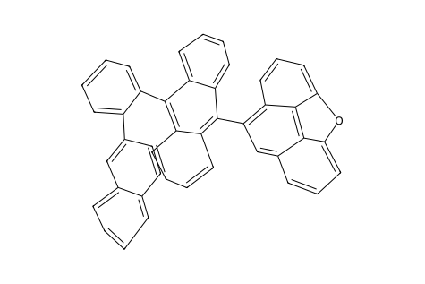 c1c(-c2ccccc2-c2c3c(c(-c4cc5cccc6oc7cccc4c7c56)c4ccccc24)C=CCC3)cc2ccccc2c#1